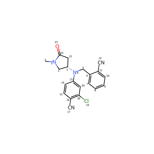 CN1C[C@@H](N(Cc2ccccc2C#N)c2ccc(C#N)c(Cl)c2)CC1=O